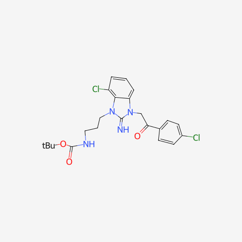 CC(C)(C)OC(=O)NCCCn1c(=N)n(CC(=O)c2ccc(Cl)cc2)c2cccc(Cl)c21